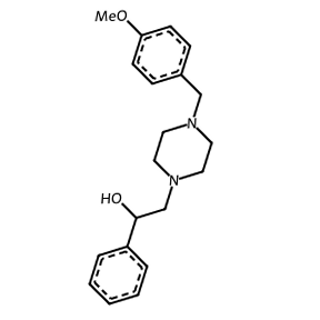 COc1ccc(CN2CCN(CC(O)c3ccccc3)CC2)cc1